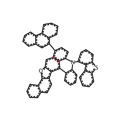 c1ccc(N(c2ccc(-c3cc4ccccc4c4ccccc34)cc2)c2cccc3sc4ccccc4c23)c(-c2cccc3oc4c5ccccc5ccc4c23)c1